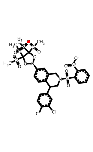 CS(=O)(=O)C1(S(C)(=O)=O)OB(c2ccc3c(c2)CN(S(=O)(=O)c2ccccc2[N+](=O)[O-])CC3c2ccc(Cl)c(Cl)c2)OC1(S(C)(=O)=O)S(C)(=O)=O